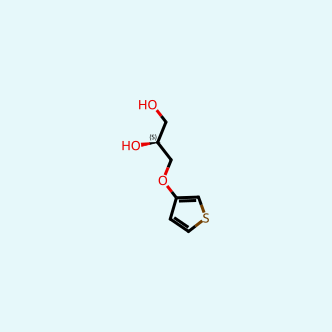 OC[C@H](O)COc1ccsc1